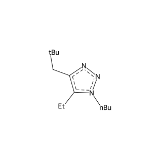 CCCCn1nnc(CC(C)(C)C)c1CC